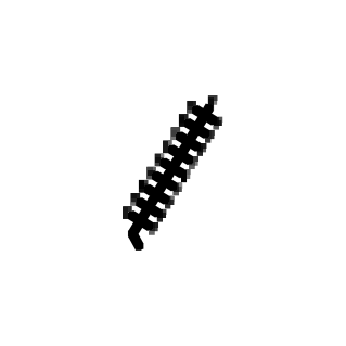 CCC(F)(F)C(F)(F)C(F)(F)C(F)(F)C(F)(F)C(F)(F)C(F)(F)C(F)(F)C(F)(F)F